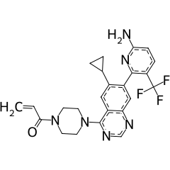 C=CC(=O)N1CCN(c2ncnc3cc(-c4nc(N)ccc4C(F)(F)F)c(C4CC4)cc23)CC1